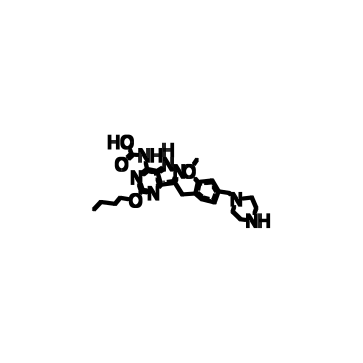 CCCCOc1nc(NC(=O)O)c2[nH]nc(Cc3ccc(CN4CCNCC4)cc3OC)c2n1